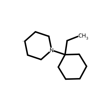 CCC1(N2CC[CH]CC2)CCCCC1